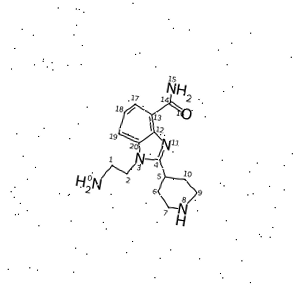 NCCn1c(C2CCNCC2)nc2c(C(N)=O)cccc21